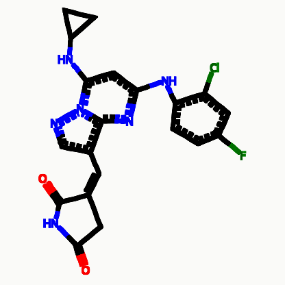 O=C1CC(=Cc2cnn3c(NC4CC4)cc(Nc4ccc(F)cc4Cl)nc23)C(=O)N1